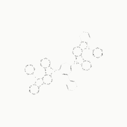 C1=CC(C2=CC(n3c4ccccc4c4c3ccc3c5ccccc5n(-c5ccccc5)c34)=CCC(n3c4ccccc4c4c5c(ccc43)c3c(n5-c4ccccc4)C=CCC3)=C2)=CCC1